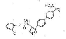 O=C(O)C1(c2ccc(-c3ccc(-c4oncc4NS(=O)(=O)CCc4ccccc4Cl)cc3)cc2)CC1